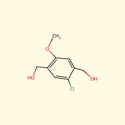 COc1cc(CO)c(Cl)cc1CO